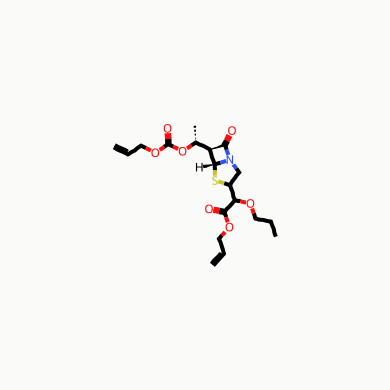 C=CCOC(=O)O[C@H](C)[C@H]1C(=O)N2CC(C(OCCC)C(=O)OCC=C)S[C@H]12